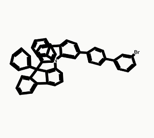 Brc1cccc(-c2ccc(-c3ccc4c5ccccc5n(-c5cccc6c5C(c5ccccc5)(c5ccccc5)c5ccccc5-6)c4c3)cc2)c1